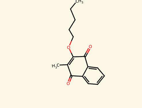 CCCCCOC1=C(C)C(=O)c2ccccc2C1=O